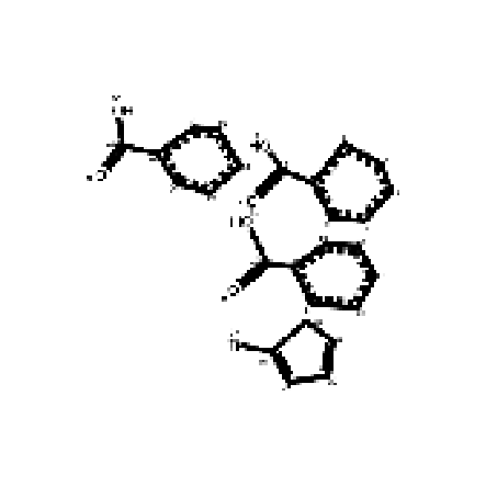 O=C(O)c1ccccc1.O=C(O)c1ccccc1.O=C(O)c1ccccc1.[Ti][C]1=CC=CC1